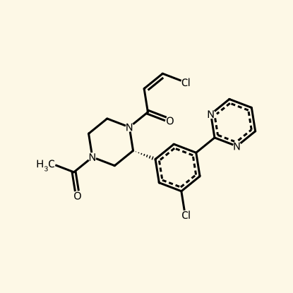 CC(=O)N1CCN(C(=O)/C=C\Cl)[C@H](c2cc(Cl)cc(-c3ncccn3)c2)C1